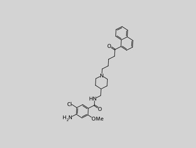 COc1cc(N)c(Cl)cc1C(=O)NCC1CCN(CCCCC(=O)c2cccc3ccccc23)CC1